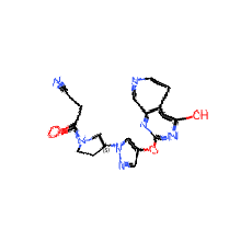 N#CCC(=O)N1CC[C@H](n2cc(Oc3nc(O)c4ccncc4n3)cn2)C1